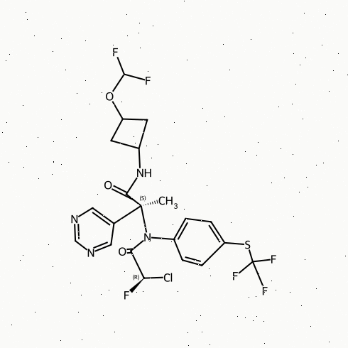 C[C@@](C(=O)NC1CC(OC(F)F)C1)(c1cncnc1)N(C(=O)[C@H](F)Cl)c1ccc(SC(F)(F)F)cc1